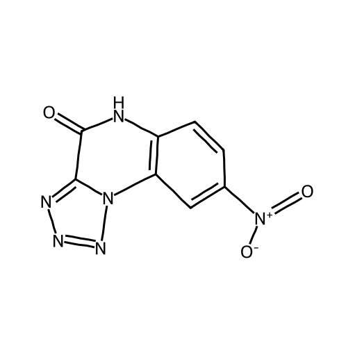 O=c1[nH]c2ccc([N+](=O)[O-])cc2n2nnnc12